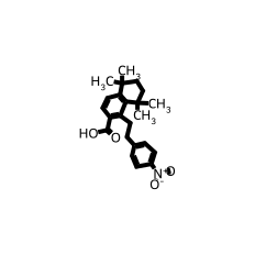 CC1(C)CCC(C)(C)c2c1ccc(C(=O)O)c2CCc1ccc([N+](=O)[O-])cc1